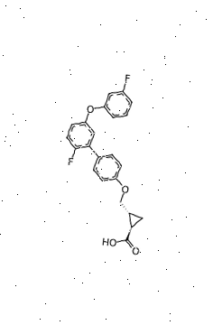 O=C(O)[C@@H]1C[C@H]1COc1ccc(-c2cc(Oc3cccc(F)c3)ccc2F)cc1